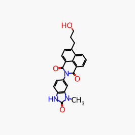 Cn1c(=O)[nH]c2ccc(N3C(=O)c4cccc5c(CCCO)ccc(c45)C3=O)cc21